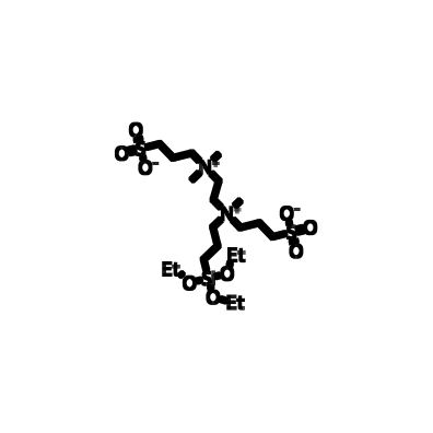 CCO[Si](CCC[N+](C)(CCCS(=O)(=O)[O-])CC[N+](C)(C)CCCS(=O)(=O)[O-])(OCC)OCC